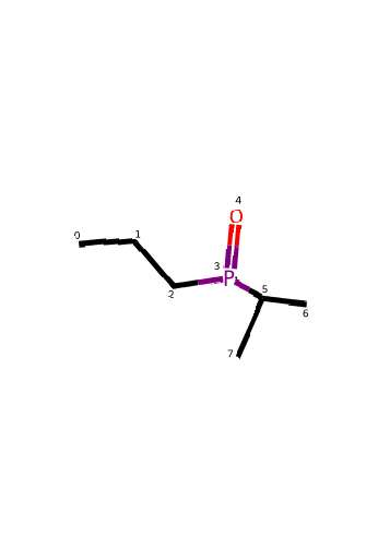 CCC[P](=O)C(C)C